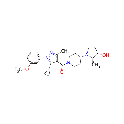 Cc1nn(-c2cccc(OC(F)(F)F)c2)c(C2CC2)c1C(=O)N1CCC(N2CC[C@H](O)[C@H]2C)CC1